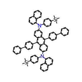 C[Si](C)(C)c1ccc(N(c2ccc3c(-c4ccc(-c5ccccc5)cc4)c4cc(N(c5ccc([Si](C)(C)C)cc5)c5cccc6ccccc56)ccc4c(-c4ccc(-c5ccccc5)cc4)c3c2)c2cccc3ccccc23)cc1